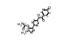 Cn1nnc(-c2ncc(NC(=O)c3ccc(Cl)nc3)cn2)c1OC(N)=O